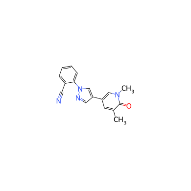 Cc1cc(-c2cnn(-c3ccccc3C#N)c2)cn(C)c1=O